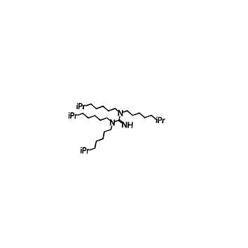 CC(C)CCCCCN(CCCCCC(C)C)C(=N)N(CCCCCC(C)C)CCCCCC(C)C